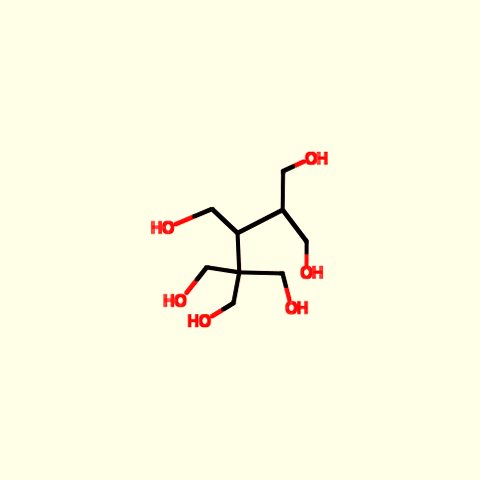 OCC(CO)C(CO)C(CO)(CO)CO